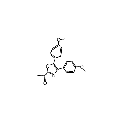 COc1ccc(-c2nc(C(C)=O)oc2-c2ccc(OC)cc2)cc1